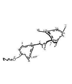 COc1ccc(COc2ccc(C)cc2C)cc1